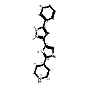 C1=CC(c2cc(-c3csc(C4CCNCC4)n3)no2)=CCC1